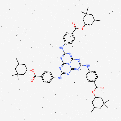 CC1CC(OC(=O)c2ccc(NC3=NC4=NC(Nc5ccc(C(=O)OC6CC(C)CC(C)(C)C6)cc5)=NC5=NC(Nc6ccc(C(=O)OC7CC(C)CC(C)(C)C7)cc6)=NC(=N3)N45)cc2)CC(C)(C)C1